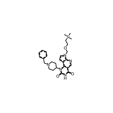 C[Si](C)(C)CCOCn1ccc2c1ncc1c(=O)[nH]c(=O)n(C3CCN(Cc4ccccc4)CC3)c12